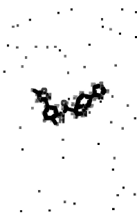 Cc1nc(-c2ccc(C)c(NC(=O)c3cnn4cc(-c5cscn5)ccc34)c2)no1